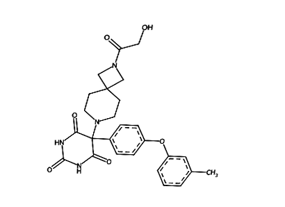 Cc1cccc(Oc2ccc(C3(N4CCC5(CC4)CN(C(=O)CO)C5)C(=O)NC(=O)NC3=O)cc2)c1